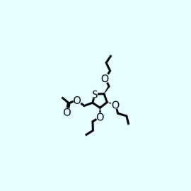 CCCOC[C@@H]1SC(COC(C)=O)[C@H](OCCC)[C@H]1OCCC